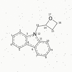 c1ccc2c(c1)c1ccccc1n2CC1CCO1